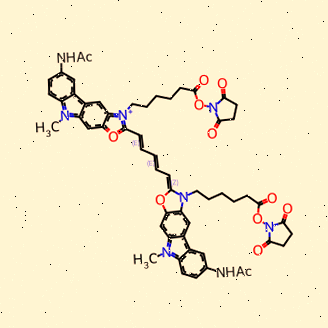 CC(=O)Nc1ccc2c(c1)c1cc3c(cc1n2C)O\C(=C/C=C/C=C/c1oc2cc4c(cc2[n+]1CCCCCC(=O)ON1C(=O)CCC1=O)c1cc(NC(C)=O)ccc1n4C)N3CCCCCC(=O)ON1C(=O)CCC1=O